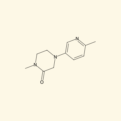 Cc1ccc(N2CCN(C)C(=O)C2)cn1